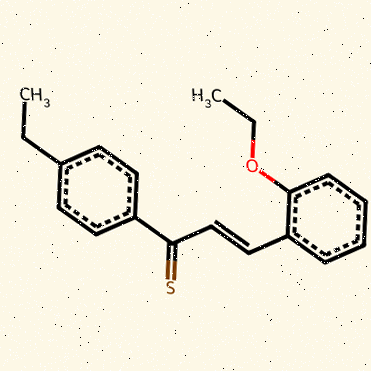 CCOc1ccccc1C=CC(=S)c1ccc(CC)cc1